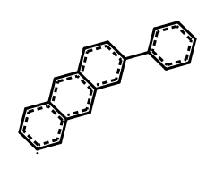 [c]1ccc2cc3ccc(-c4ccccc4)cc3cc2c1